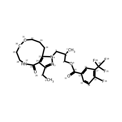 CCc1nn(C[C@@H](C)COC(=O)c2ccc(F)c(C(F)(F)F)c2)c2c1C(=O)NCCCOCCC2